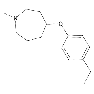 CCc1ccc(OC2CCCN(C)CC2)cc1